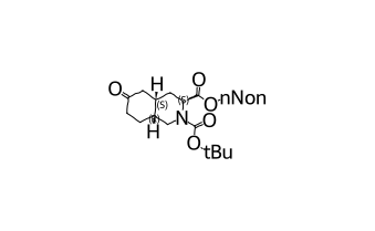 CCCCCCCCCOC(=O)[C@@H]1C[C@H]2CC(=O)CC[C@H]2CN1C(=O)OC(C)(C)C